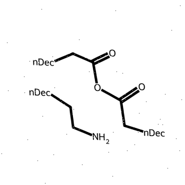 CCCCCCCCCCCC(=O)OC(=O)CCCCCCCCCCC.CCCCCCCCCCCCN